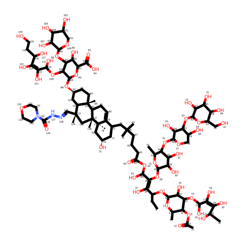 CCC(OC1OC(C)C(OC(C)=O)C(OC(O)/C(O)=C(/O)C(C)O)C1O)/C(O)=C(\OC1OC(C)C(OC2OCC(O)C(OC3OC(CO)C(O)C(O)C3O)C2O)C(O)C1O)C(O)OC(=O)CCCC(C)(C)CC1C[C@H](O)C[C@]2(C)C1=CCC1[C@@]3(C)CC[C@H](OC4OC(C(=O)O)C(O)C(OC5OCC(O)C(O)C5O)C4OC(O)/C(O)=C(/O)C(O)CCO)CC3[C@@](C)(/C=N/NC(=O)N3CCOCC3)C[C@]12C